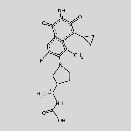 Cc1c(N2CCC([C@@H](C)NC(=O)O)C2)c(F)cn2c(=O)n(N)c(=O)c(C3CC3)c12